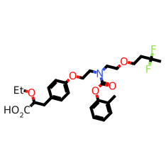 CCOC(Cc1ccc(OCCN(CCOCCC(C)(F)F)C(=O)Oc2ccccc2C)cc1)C(=O)O